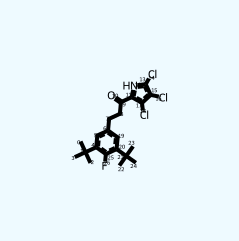 CC(C)(C)c1cc(CCC(=O)c2[nH]c(Cl)c(Cl)c2Cl)cc(C(C)(C)C)c1F